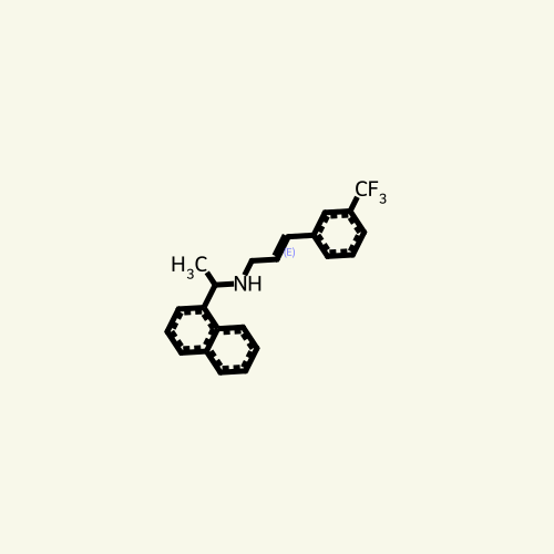 CC(NC/C=C/c1cccc(C(F)(F)F)c1)c1cccc2ccccc12